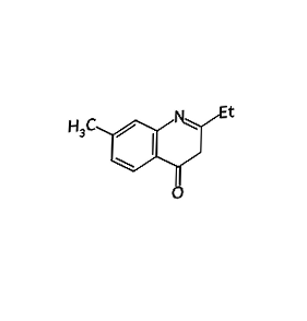 CCC1=Nc2cc(C)ccc2C(=O)C1